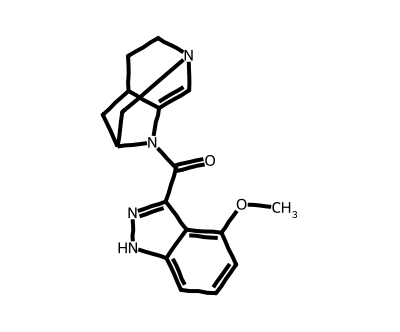 COc1cccc2[nH]nc(C(=O)N3C4=CN5CCC4CC3C5)c12